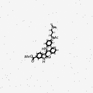 COC(=O)c1ccc2c(c1)NC(=O)C2=C(Nc1ccc(N(CCCN(C)C)C(C)=O)cc1)c1cccnc1